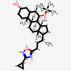 CC[C@@H]1C2C[C@H](O)CCC2(C)[C@H]2CCC3(C)C([C@H](C)CCc4nc(C5CC5)no4)CC[C@H]3[C@@H]2[C@@H]1O[Si](C)(C)C